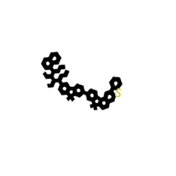 C=C/C=C(/C(=CC)C(=C\C)/C(=C/C=C)c1ccc2c(c1)-c1ccc(-c3ccc4c(c3)C(C)(C)c3ccc5cc6sc7ccccc7c6cc5c3-4)cc1C2(C)C)c1cccc2ccccc12